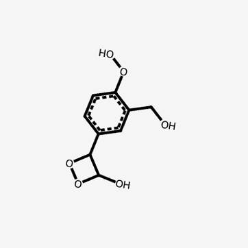 OCc1cc(C2OOC2O)ccc1OO